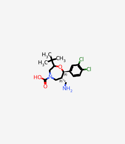 CC(C)(C)C1CN(C(=O)O)C[C@@H](CN)[C@H](c2ccc(Cl)c(Cl)c2)O1